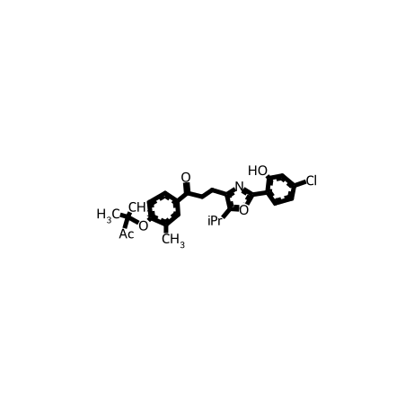 CC(=O)C(C)(C)Oc1ccc(C(=O)CCc2nc(-c3ccc(Cl)cc3O)oc2C(C)C)cc1C